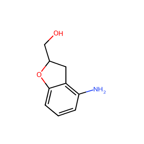 Nc1cccc2c1CC(CO)O2